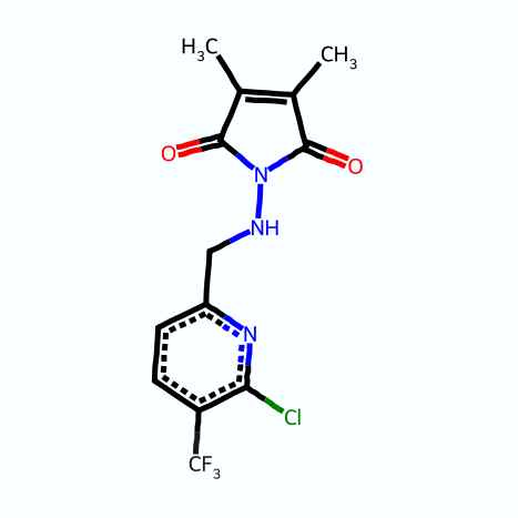 CC1=C(C)C(=O)N(NCc2ccc(C(F)(F)F)c(Cl)n2)C1=O